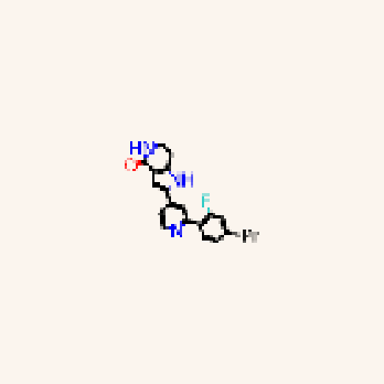 CC(C)c1ccc(-c2cc(-c3cc4c([nH]3)CCNC4=O)ccn2)c(F)c1